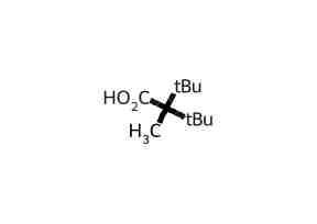 CC(C)(C)C(C)(C(=O)O)C(C)(C)C